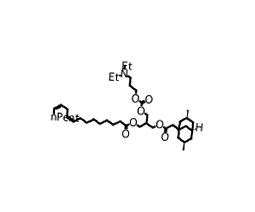 CCCCC/C=C\C/C=C\CCCCCCCC(=O)OCC(COC(=O)CC12C[C@H](C)C[C@H](C[C@H](C)C1)C2)COC(=O)OCCCN(CC)CC